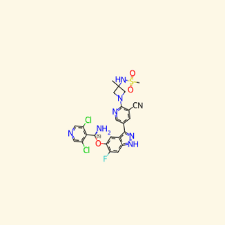 CC1(NS(C)(=O)=O)CN(c2ncc(-c3n[nH]c4cc(F)c(O[C@H](N)c5c(Cl)cncc5Cl)cc34)cc2C#N)C1